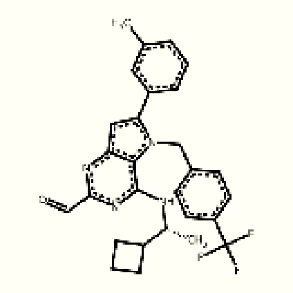 Cc1cccc(-c2cc3nc(C=O)nc(N[C@H](C)C4CCC4)c3n2Cc2ccc(C(F)(F)F)cc2)c1